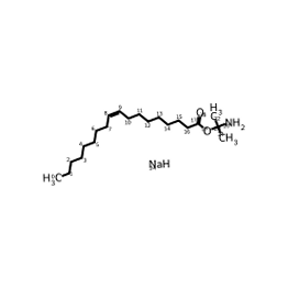 CCCCCCCC/C=C\CCCCCCCC(=O)OC(C)(C)N.[NaH]